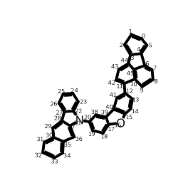 c1ccc2c(c1)-c1cccc3c(-c4ccc5oc6ccc(-n7c8ccccc8c8cc9ccccc9cc87)cc6c5c4)ccc-2c13